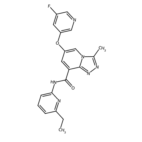 CCc1cccc(NC(=O)c2cc(Oc3cncc(F)c3)cn3c(C)nnc23)n1